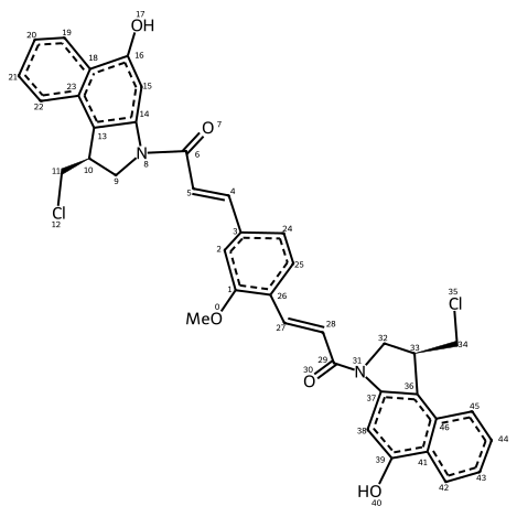 COc1cc(/C=C/C(=O)N2C[C@@H](CCl)c3c2cc(O)c2ccccc32)ccc1/C=C/C(=O)N1C[C@@H](CCl)c2c1cc(O)c1ccccc21